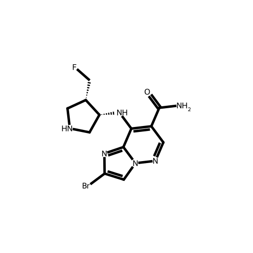 NC(=O)c1cnn2cc(Br)nc2c1N[C@@H]1CNC[C@@H]1CF